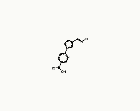 ON=Cc1ccn(-c2ccc(B(O)O)cn2)c1